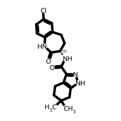 CC1(C)CCc2c(C(=O)N[C@H]3CCc4cc(Cl)ccc4NC3=O)n[nH]c2C1